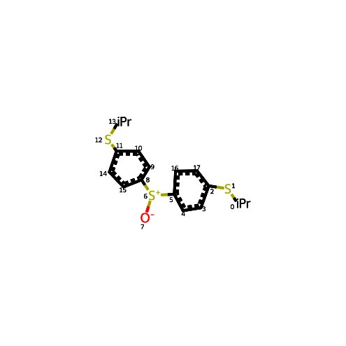 CC(C)Sc1ccc([S+]([O-])c2ccc(SC(C)C)cc2)cc1